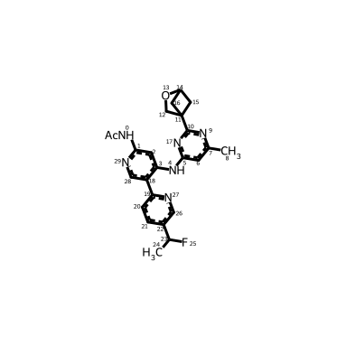 CC(=O)Nc1cc(Nc2cc(C)nc(C34COC(C3)C4)n2)c(-c2ccc(C(C)F)cn2)cn1